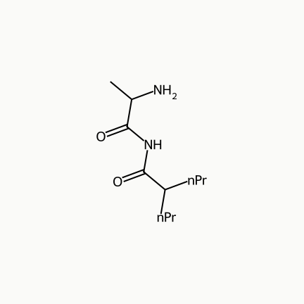 CCCC(CCC)C(=O)NC(=O)C(C)N